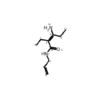 C=CCNC(=O)/C(CC)=C(/N)CC